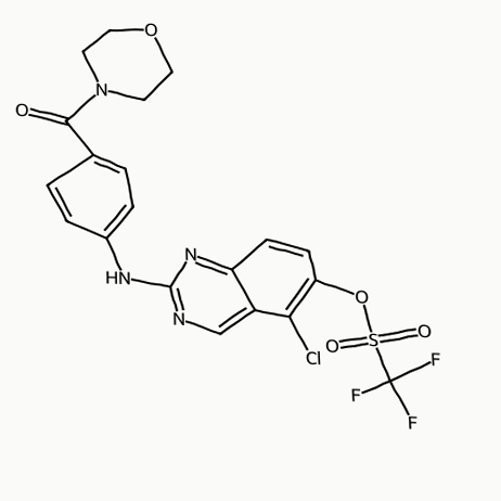 O=C(c1ccc(Nc2ncc3c(Cl)c(OS(=O)(=O)C(F)(F)F)ccc3n2)cc1)N1CCOCC1